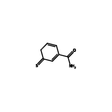 NC(=O)C1=CC(=S)CC=C1